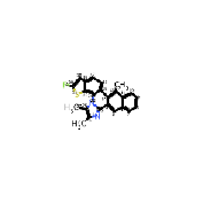 Cc1nc2c3cc4ccccc4c(C)c3c3ccc4cc(F)sc4c3n2c1C